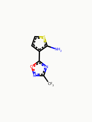 Nc1sccc1-c1nc(C(F)(F)F)no1